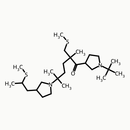 CSCC(C)(CCC(C)(C)N1CCC(CC(C)SC)C1)C(=O)C1CCN(C(C)(C)C)C1